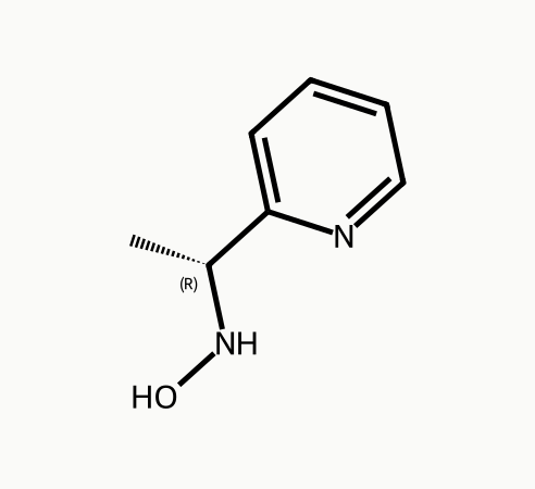 C[C@@H](NO)c1ccccn1